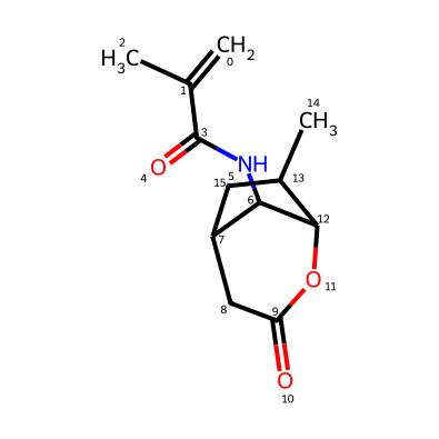 C=C(C)C(=O)NC1C2CC(=O)OC1C(C)C2